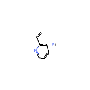 C=Cc1ccccn1.[N]